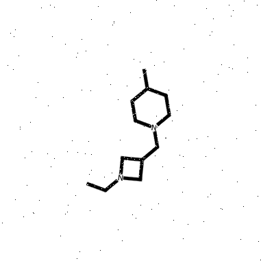 CCN1CC(CN2CCC(C)CC2)C1